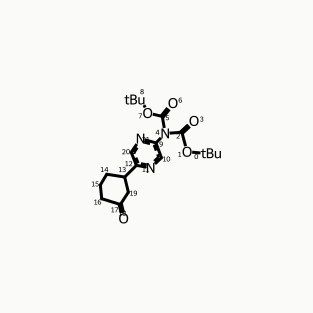 CC(C)(C)OC(=O)N(C(=O)OC(C)(C)C)c1cnc(C2CCCC(=O)C2)cn1